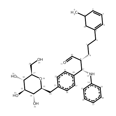 CC1C=CC=C(CCC[C@@H](C=O)[C@H](Nc2ccccc2)c2ccc(C[C@@H]3O[C@H](CO)[C@@H](O)[C@H](O)[C@H]3O)cc2)C1